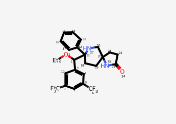 CCOC(c1cc(C(F)(F)F)cc(C(F)(F)F)c1)C1(c2ccccc2)CCC2(CCC(=O)N2)CN1